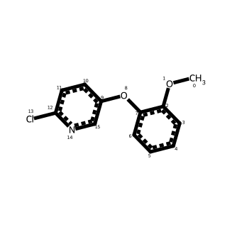 COc1ccccc1Oc1ccc(Cl)nc1